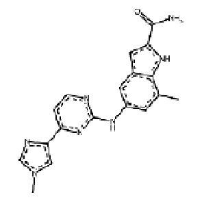 Cc1cc(Nc2nccc(-c3cn(C)cn3)n2)cc2cc(C(N)=O)[nH]c12